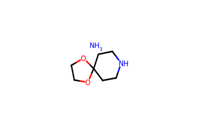 C1CC2(CCN1)OCCO2.N